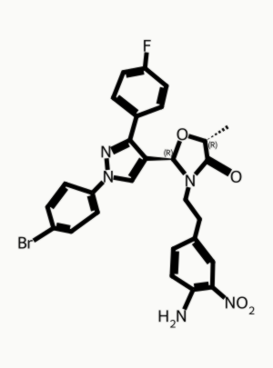 C[C@H]1O[C@H](c2cn(-c3ccc(Br)cc3)nc2-c2ccc(F)cc2)N(CCc2ccc(N)c([N+](=O)[O-])c2)C1=O